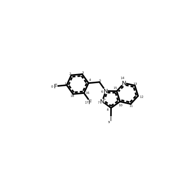 Fc1ccc(Cn2nc(I)c3cccnc32)c(F)c1